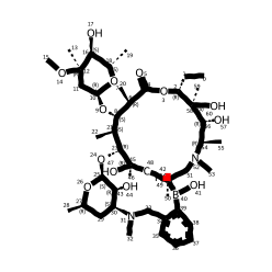 CC[C@H]1OC(=O)[C@H](C)[C@@H](O[C@H]2C[C@@](C)(OC)[C@@H](O)[C@H](C)O2)[C@H](C)[C@@H](O[C@@H]2O[C@H](C)C[C@H](N(C)Cc3ccccc3B(O)O)[C@H]2O)[C@](C)(O)C[C@@H](C)CN(C)[C@H](C)[C@@H](O)[C@]1(C)O